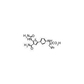 CC(C)C[C@@H](Nc1ccc(-c2cc(C(N)=O)c(NC(N)=O)s2)cc1)C(=O)O